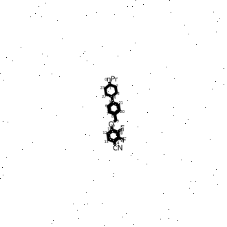 CCCC1CCC(c2ccc(COc3ccc(C#N)c(F)c3F)cc2)CC1